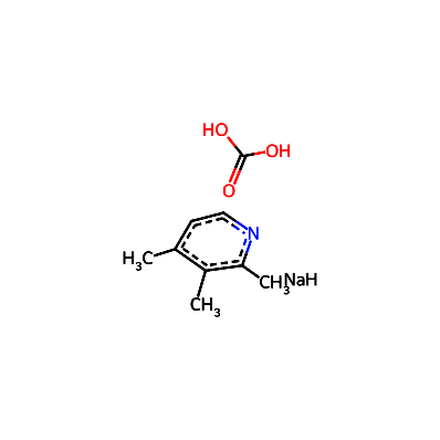 Cc1ccnc(C)c1C.O=C(O)O.[NaH]